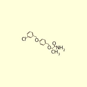 C[C@H](OCc1ccc(OCc2cccc(Cl)c2)cc1)C(N)=O